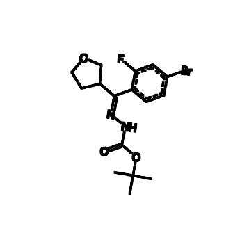 CC(C)(C)OC(=O)N/N=C(\c1ccc(Br)cc1F)C1CCOC1